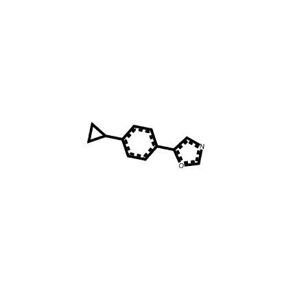 c1ncc(-c2ccc(C3CC3)cc2)o1